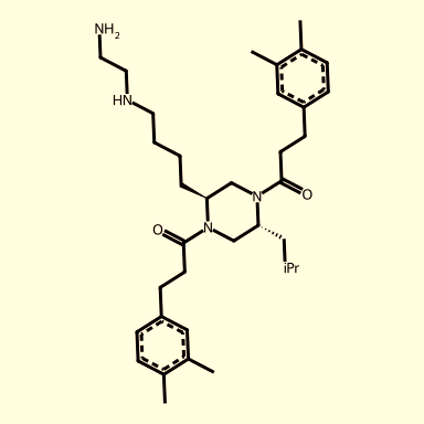 Cc1ccc(CCC(=O)N2C[C@H](CCCCNCCN)N(C(=O)CCc3ccc(C)c(C)c3)C[C@H]2CC(C)C)cc1C